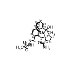 C[C@](O)(C(=O)[N+]1(Cc2cc(Cl)ccc2CCNS(C)(=O)=O)CCC[C@H]1C(N)=O)c1ccccc1